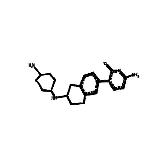 Nc1ccn(-c2ccc3c(c2)CCC(NC2CCC(N)CC2)C3)c(=O)n1